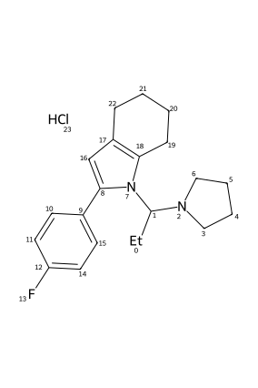 CCC(N1CCCC1)n1c(-c2ccc(F)cc2)cc2c1CCCC2.Cl